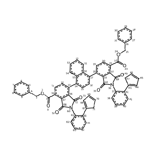 O=C(OCc1ccccc1)c1ccc(-c2ccc(-c3ccc(C(=O)OCc4ccccc4)c4c3C(=O)N(c3ccccc3C3=CC=CC3)C4=O)c3ccccc23)c2c1C(=O)N(c1ccccc1C1=CC=CC1)C2=O